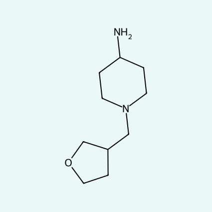 NC1CCN(CC2CCOC2)CC1